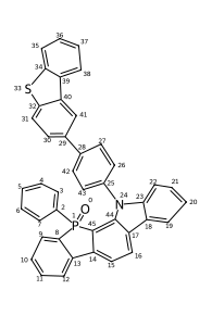 O=P1(c2ccccc2)c2ccccc2-c2ccc3c4ccccc4n(-c4ccc(-c5ccc6sc7ccccc7c6c5)cc4)c3c21